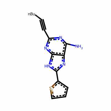 CCCCC#Cc1nc(N)c2nc(-c3cccs3)[nH]c2n1